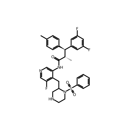 Cc1ccc([C@@H](c2cc(F)cc(F)c2)[C@H](C)C(=O)Nc2cncc(F)c2CC2CNCCN2S(=O)(=O)c2ccccc2)cc1